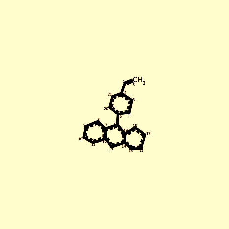 C=Cc1ccc(-c2c3ccccc3cc3ccccc23)cc1